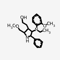 CCN(c1ccccc1OC)C1C(c2ccccc2)NC(COC)C1CCO